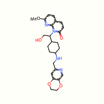 COc1ccc2ccc(=O)n(C(CO)C3CCC(NCc4cc5c(cn4)OCCO5)CC3)c2n1